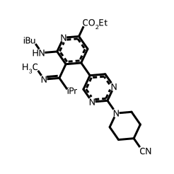 CCOC(=O)c1cc(-c2cnc(N3CCC(C#N)CC3)nc2)c(/C(=N\C)C(C)C)c(NC(C)CC)n1